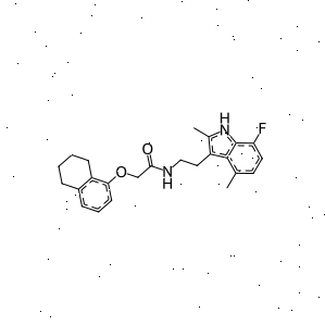 Cc1[nH]c2c(F)ccc(C)c2c1CCNC(=O)COc1cccc2c1CCCC2